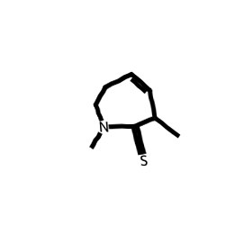 CC1C=CCCN(C)C1=S